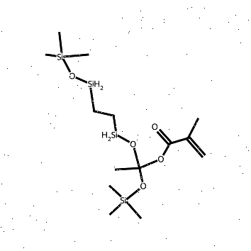 C=C(C)C(=O)OC(C)(O[SiH2]CC[SiH2]O[Si](C)(C)C)O[Si](C)(C)C